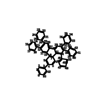 c1ccc(-c2ccc3c(c2)c2cc(-c4ccccc4)c(-c4ccccc4)cc2c2cc(-c4ccccc4)c(-c4ccccc4)c(-c4ccccc4)c32)cc1